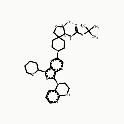 C[C@@H]1OCC2(CCN(c3cnc4c(N5CCNc6ncccc65)nn(C5CCCCO5)c4n3)CC2)[C@@H]1NC(=O)OC(C)(C)C